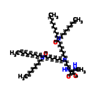 CCCCCCCCCCN(CCCCCCCCCC)C(=O)CCCCCCCN(CCCCCCCC(=O)N(CCCCCCCCCC)CCCCCCCCCC)CCCNc1c(NC)c(=O)c1=O